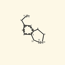 CC(C)Cc1ccc2c(c1)CCCNC2